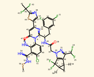 CNc1c(-n2c(C(Cc3cc(F)cc(F)c3)NC(=O)Cn3nc(C(F)F)c4c3C(F)(F)[C@@H]3C[C@H]43)nc(-c3cnc(C(C)(F)F)s3)cc2=O)ccc(Cl)c1C(=N)NSC